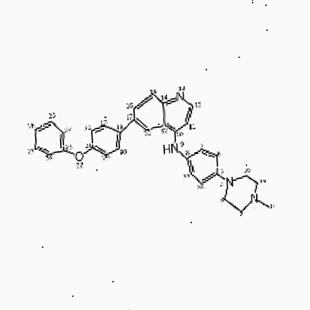 CN1CCN(c2ccc(Nc3ccnc4ccc(-c5ccc(Oc6ccccc6)cc5)cc34)cc2)CC1